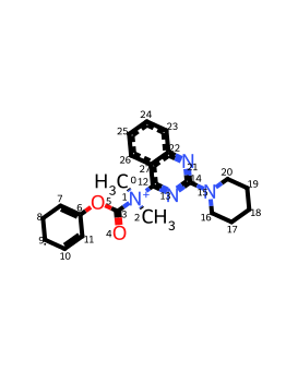 C[N+](C)(C(=O)OC1=CC[CH]C=C1)c1nc(N2CCCCC2)nc2ccccc12